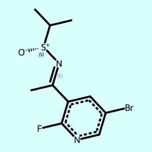 C/C(=N\[S@+]([O-])C(C)C)c1cc(Br)cnc1F